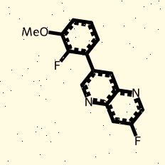 COc1[c]ccc(-c2cnc3cc(F)cnc3c2)c1F